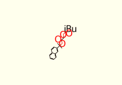 CCC(C)C(=O)OCC(=O)OC(C)(C)c1ccc2ccccc2c1